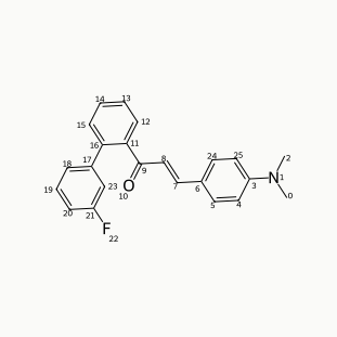 CN(C)c1ccc(C=CC(=O)c2ccccc2-c2cccc(F)c2)cc1